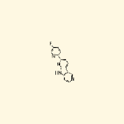 Fc1ccc(-c2ccc3c(n2)[nH]c2ccncc23)nc1